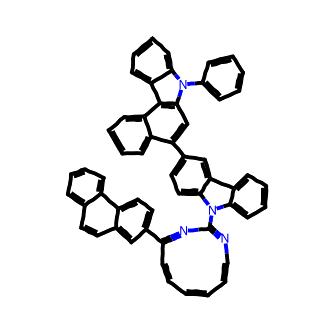 c1cccc(-c2ccc3c(ccc4ccccc43)c2)nc(-n2c3ccccc3c3cc(-c4cc5c(c6ccccc46)c4ccccc4n5-c4ccccc4)ccc32)ncc1